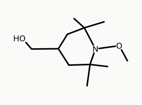 CON1C(C)(C)CC(CO)CC1(C)C